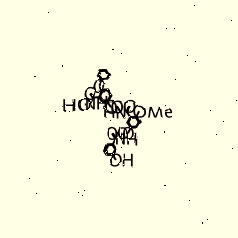 COc1ccc(OONC(=O)c2cccc(O)c2)cc1C(=O)NOOc1ccc(Oc2ccccc2)c(C(=O)NO)c1